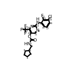 O=C(NCC1CCCC1)Oc1cnc(Nc2cccc(Cl)c2F)nc1C(F)(F)F